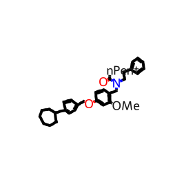 CCCCCC(=O)N(CCc1ccccc1)Cc1ccc(OCc2ccc(C3CCCCCC3)cc2)cc1OC